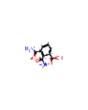 NC(=O)c1cccc(C(=O)O)c1C(N)=O